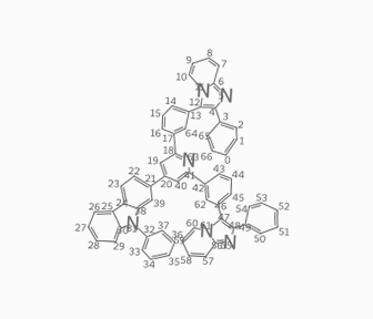 c1ccc(-c2nc3ccccn3c2-c2cccc(-c3cc(-c4ccc5c6ccccc6n(-c6ccccc6)c5c4)cc(-c4cccc(-c5c(-c6ccccc6)nc6ccccn56)c4)n3)c2)cc1